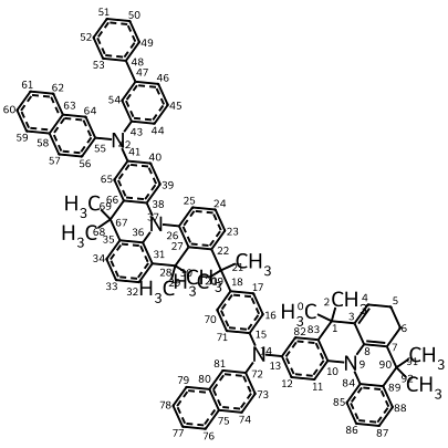 CC1(C)C2=CCCC3=C2N(c2ccc(N(c4ccc(C(C)(C)c5cccc6c5C(C)(C)c5cccc7c5N6c5ccc(N(c6cccc(-c8ccccc8)c6)c6ccc8ccccc8c6)cc5C7(C)C)cc4)c4ccc5ccccc5c4)cc21)c1ccccc1C3(C)C